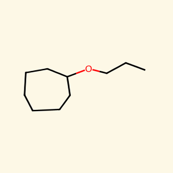 CCCOC1CCCCCC1